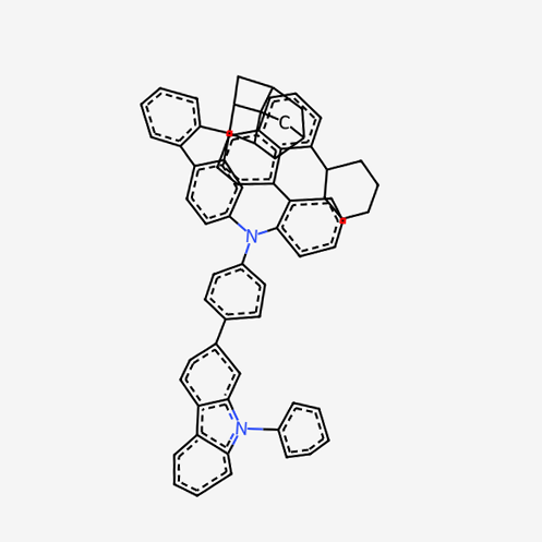 c1ccc(-n2c3ccccc3c3ccc(-c4ccc(N(c5ccc6c(c5)C5(c7ccccc7-6)C6CC7CC8CC5C86C7)c5ccccc5-c5cccc6cccc(C7CCCCC7)c56)cc4)cc32)cc1